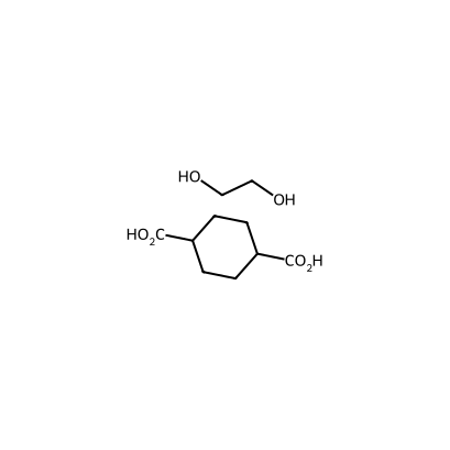 O=C(O)C1CCC(C(=O)O)CC1.OCCO